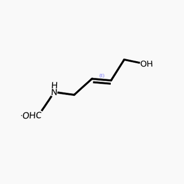 O=[C]NC/C=C/CO